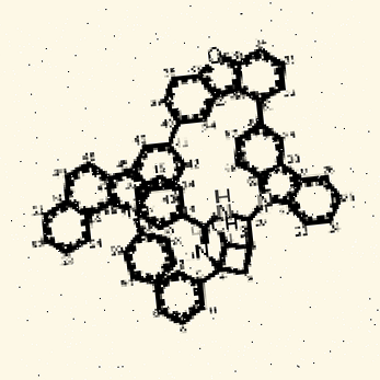 CC1C2CC1(c1ccccc1)N=C(c1ccccc1)NC2n1c2ccccc2c2cc(-c3cccc4oc5ccc(-c6ccc7c(c6)c6ccc8ccccc8c6n7-c6ccccc6)cc5c34)ccc21